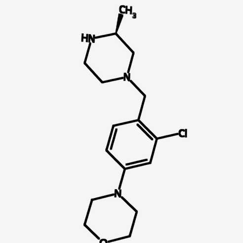 C[C@H]1CN(Cc2ccc(N3CCOCC3)cc2Cl)CCN1